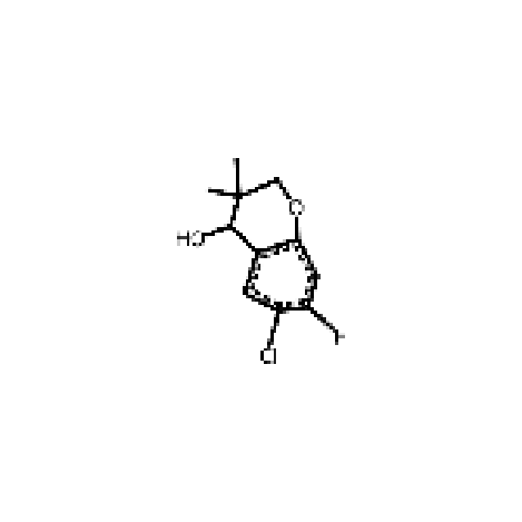 CC1(C)COc2cc(F)c(Cl)cc2C1O